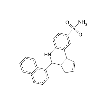 NS(=O)(=O)c1ccc2c(c1)C1C=CCC1C(c1cccc3ccccc13)N2